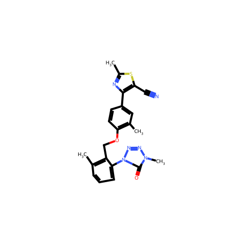 Cc1nc(-c2ccc(OCc3c(C)cccc3-n3nnn(C)c3=O)c(C)c2)c(C#N)s1